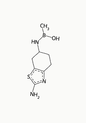 CB(O)NC1CCc2nc(N)sc2C1